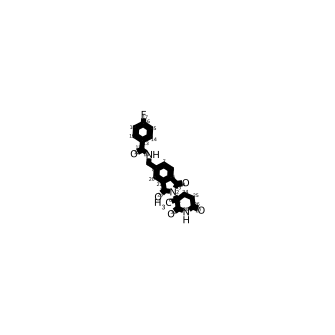 CC1(N2C(=O)c3ccc(CNC(=O)c4ccc(F)cc4)cc3C2=O)CCC(=O)NC1=O